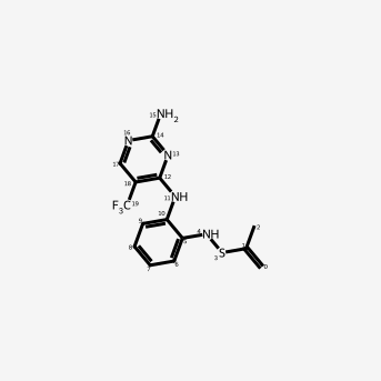 C=C(C)SNc1ccccc1Nc1nc(N)ncc1C(F)(F)F